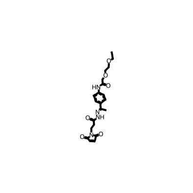 CCOCCOCC(=O)Nc1ccc(/C(C)=N/NC(=O)CCN2C(=O)C=CC2=O)cc1